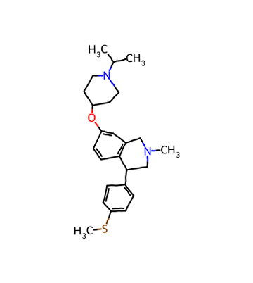 CSc1ccc(C2CN(C)Cc3cc(OC4CCN(C(C)C)CC4)ccc32)cc1